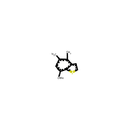 COc1cc(C)c(C)c2ccsc12